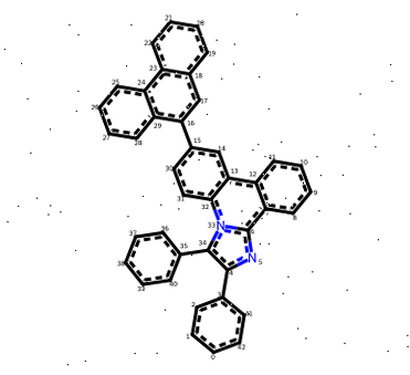 c1ccc(-c2nc3c4ccccc4c4cc(-c5cc6ccccc6c6ccccc56)ccc4n3c2-c2ccccc2)cc1